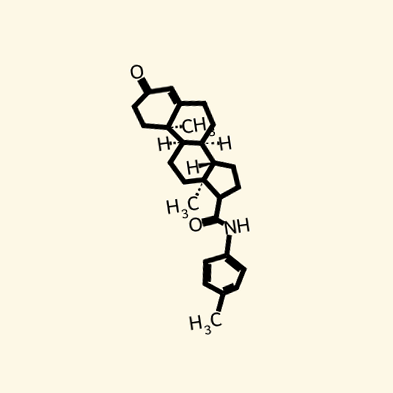 Cc1ccc(NC(=O)C2CC[C@H]3[C@@H]4CCC5=CC(=O)CC[C@]5(C)[C@@H]4CC[C@]23C)cc1